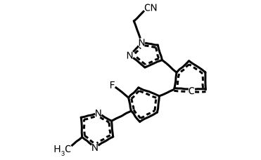 Cc1cnc(-c2ccc(-c3ccccc3-c3cnn(CC#N)c3)cc2F)cn1